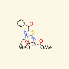 COC(=O)/C=C(\N=c1\sc(C(=O)c2ccccc2)nn1-c1ccccc1)C(=O)OC